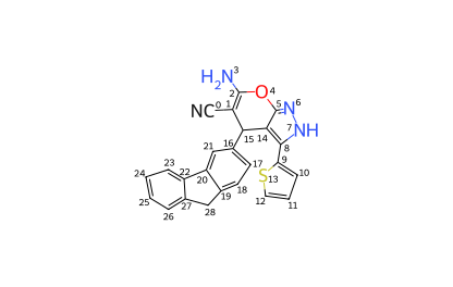 N#CC1=C(N)Oc2n[nH]c(-c3cccs3)c2C1c1ccc2c(c1)-c1ccccc1C2